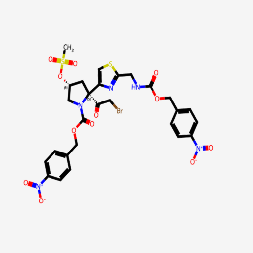 CS(=O)(=O)O[C@H]1CN(C(=O)OCc2ccc([N+](=O)[O-])cc2)[C@](C(=O)CBr)(c2csc(CNC(=O)OCc3ccc([N+](=O)[O-])cc3)n2)C1